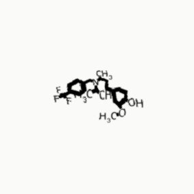 COc1cc(CCC(C)N(Cc2ccc(C(F)(F)F)cc2)C(C)C)ccc1O